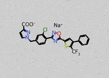 O=C([O-])c1ccn(Cc2ccc(-c3noc(-c4cc(-c5ccccc5)c(C(F)(F)F)s4)n3)c(Cl)c2)n1.[Na+]